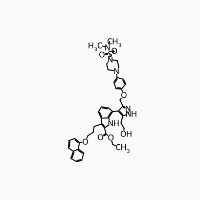 CCOC(=O)c1[nH]c2c(-c3c(COc4ccc(N5CCN(S(=O)(=O)N(C)C)CC5)cc4)n[nH]c3CCO)cccc2c1CCCOc1cccc2ccccc12